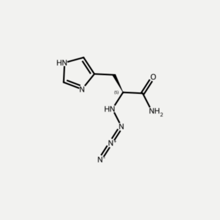 [N-]=[N+]=NN[C@@H](Cc1c[nH]cn1)C(N)=O